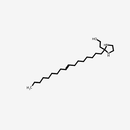 CCCCCCCCC=CCCCCCCCC1(CCO)NCCN1